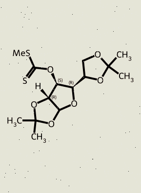 CSC(=S)O[C@H]1[C@@H](C2COC(C)(C)O2)OC2OC(C)(C)O[C@@H]21